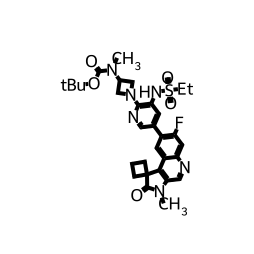 CCS(=O)(=O)Nc1cc(-c2cc3c4c(cnc3cc2F)N(C)C(=O)C42CCC2)cnc1N1CC(N(C)C(=O)OC(C)(C)C)C1